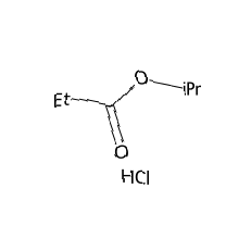 CCC(=O)OC(C)C.Cl